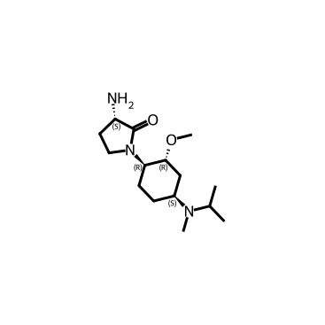 CO[C@@H]1C[C@@H](N(C)C(C)C)CC[C@H]1N1CC[C@H](N)C1=O